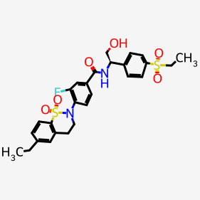 CCc1ccc2c(c1)CCN(c1ccc(C(=O)N[C@@H](CO)c3ccc(S(=O)(=O)CC)cc3)cc1F)S2(=O)=O